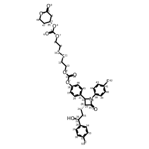 O=C1C[C@H](OC(=O)OCCSSCCOC(=O)Oc2ccc(C3[C@@H](CC[C@H](O)c4ccc(F)cc4)C(=O)N3c3ccc(F)cc3)cc2)CCO1